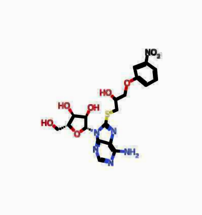 Nc1ncnc2c1nc(SCC(O)COc1cccc([N+](=O)[O-])c1)n2[C@@H]1O[C@H](CO)[C@@H](O)[C@H]1O